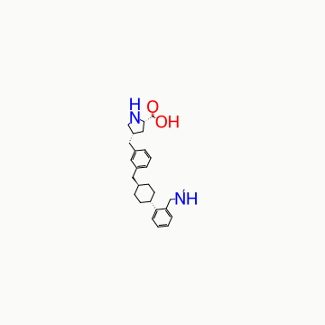 CNCc1ccccc1[C@H]1CC[C@H](Cc2cccc(C[C@@H]3CN[C@H](C(=O)O)C3)c2)CC1